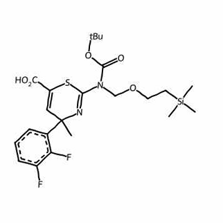 CC(C)(C)OC(=O)N(COCC[Si](C)(C)C)C1=NC(C)(c2cccc(F)c2F)C=C(C(=O)O)S1